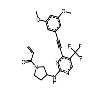 C=CC(=O)N1CCC(Nc2ncc(C(F)(F)F)c(C#Cc3cc(OC)cc(OC)c3)n2)C1